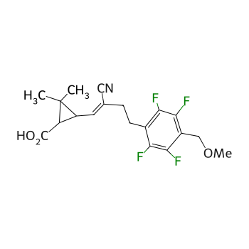 COCc1c(F)c(F)c(CCC(C#N)=CC2C(C(=O)O)C2(C)C)c(F)c1F